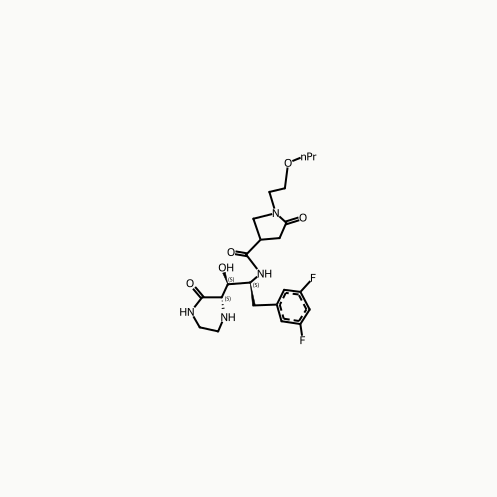 CCCOCCN1CC(C(=O)N[C@@H](Cc2cc(F)cc(F)c2)[C@H](O)[C@@H]2NCCNC2=O)CC1=O